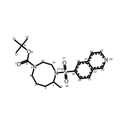 CC1CCCN(C(=O)OC(C)(C)C)CCN1S(=O)(=O)c1ccc2cnccc2c1